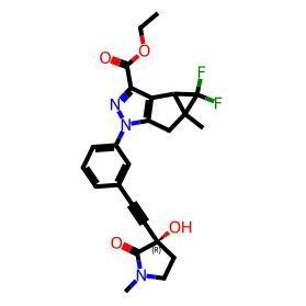 CCOC(=O)c1nn(-c2cccc(C#C[C@]3(O)CCN(C)C3=O)c2)c2c1C1C(F)(F)C1(C)C2